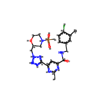 CCc1cc(CNC(=O)c2cc(-c3nnn(CC4CN(S(C)(=O)=O)CCO4)n3)nc(C)n2)ccc1F